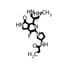 C=CC(=O)NC1CCN(c2nc(/C(C=N)=C/NC)c3c(c2F)CNC3=O)C1